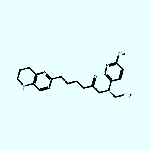 COc1ccc([C@@H](CC(=O)O)CC(=O)CCCCc2ccc3c(n2)CCCN3)nn1